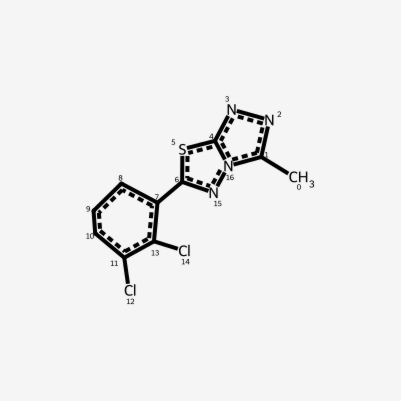 Cc1nnc2sc(-c3cccc(Cl)c3Cl)nn12